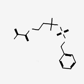 C=C(C)C(=O)OCCC(C)(C)OS(=O)(=O)OCc1ccccc1.N